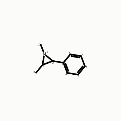 CC1C(c2ccccc2)N1C